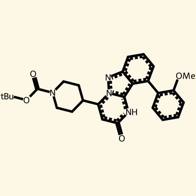 COc1ccccc1-c1cccc2nn3c(C4CCN(C(=O)OC(C)(C)C)CC4)cc(=O)[nH]c3c12